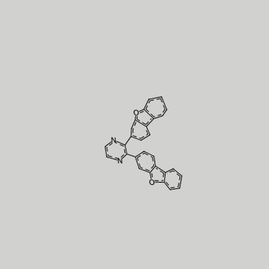 c1ccc2c(c1)oc1cc(-c3nccnc3-c3ccc4c(c3)oc3ccccc34)ccc12